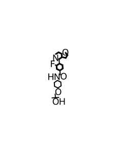 CC(C)(O)COC1CCC(NC(=O)c2ccc(-c3nccc4occc34)c(F)c2)CC1